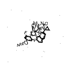 COc1cc(F)c([C@@H]2CN(C)C(=O)[C@@H]2c2cccc3ccc(C4(NC(N)=O)CC4)nc23)c(F)c1